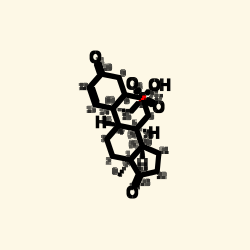 C[C@]12CC[C@H]3[C@@H](CCC4CC(=O)C=C[C@@]43CS(=O)(=O)O)[C@@H]1CCC2=O